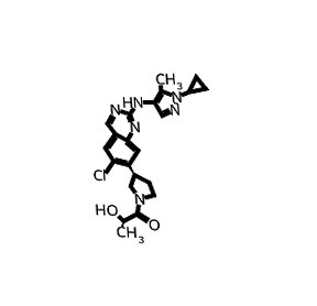 Cc1c(Nc2ncc3cc(Cl)c([C@H]4CCN(C(=O)[C@H](C)O)C4)cc3n2)cnn1C1CC1